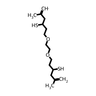 [CH]=C(C)CC(S)CCOCCOCCC(S)CC(=C)C